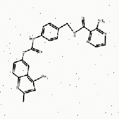 Cc1cc(N)c2cc(OC(=O)Nc3ccc(CNC(=O)c4nccnc4N)cc3)ccc2n1